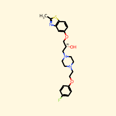 Cc1nc2cc(OC[C@H](O)CN3CCN(CCOc4ccc(F)cc4)CC3)ccc2s1